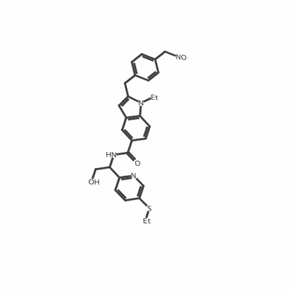 CCSc1ccc(C(CO)NC(=O)c2ccc3c(c2)cc(Cc2ccc(CN=O)cc2)n3CC)nc1